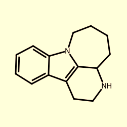 c1ccc2c(c1)c1c3n2CCCCC3NCC1